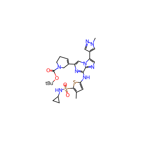 Cc1cc(Nc2nc(C3=CCCN(C(=O)OC(C)(C)C)C3)cn3c(-c4cnn(C)c4)cnc23)sc1S(=O)(=O)NC1CC1